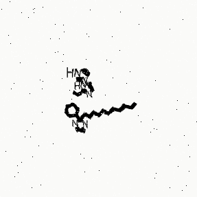 CCCCCCCCCCCC1(C2CCCCC2)N=CC=N1.CCc1ncc[nH]1.c1c[nH]cn1